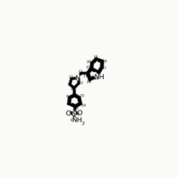 NS(=O)(=O)c1ccc(C2CCN(Cc3c[nH]c4ccccc34)C2)cc1